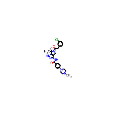 CN1CCN(c2ccc(C(=O)Nc3n[nH]c4c3CN(C(=O)Cc3cccc(Cl)c3)C4(C)C)cc2)CC1